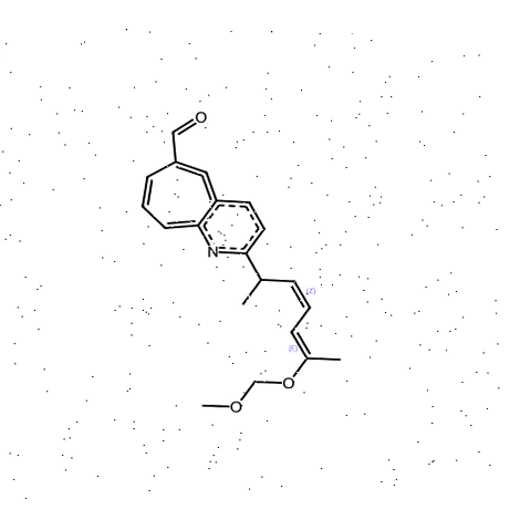 COCO/C(C)=C/C=C\C(C)c1ccc2c(n1)=CC=CC(C=O)=C=2